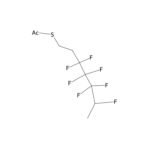 CC(=O)SCCC(F)(F)C(F)(F)C(F)(F)C(C)F